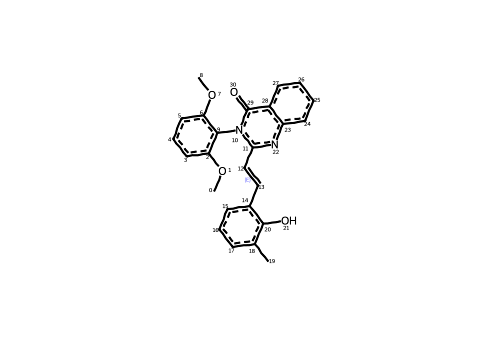 COc1cccc(OC)c1-n1c(/C=C/c2cccc(C)c2O)nc2ccccc2c1=O